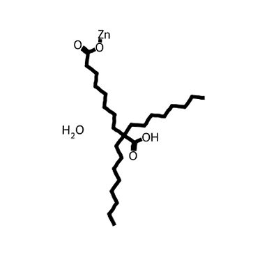 CCCCCCCCC(CCCCCCCC)(CCCCCCCC(=O)[O][Zn])C(=O)O.O